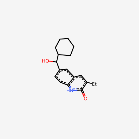 CCc1cc2cc(C(O)C3CCCCC3)ccc2[nH]c1=O